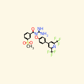 CS(=O)(=O)c1cccc(C(=O)N(Oc2ccc(-c3cc(C(F)(F)F)nc(C(F)(F)F)c3)cc2)C(=N)N)c1